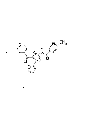 Cc1ccc(C(=O)Nc2nc(-c3ccco3)c(C(=O)C3CCSCC3)s2)cn1